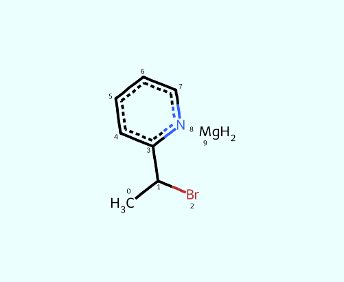 CC(Br)c1ccccn1.[MgH2]